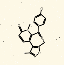 Cc1noc2c1-c1ccc(=O)n(C)c1C(c1ccc(Cl)cc1)=NC2